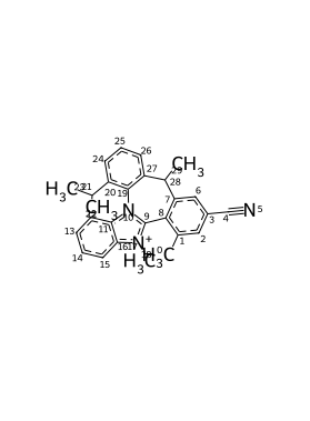 Cc1cc(C#N)cc2c1-c1n(c3ccccc3[n+]1C)-c1c(C(C)C)cccc1C2C